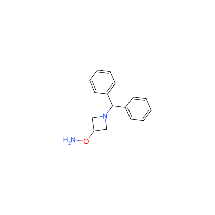 NOC1CN(C(c2ccccc2)c2ccccc2)C1